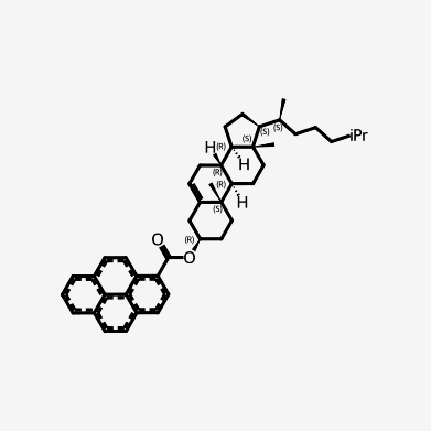 CC(C)CCC[C@H](C)[C@@H]1CC[C@@H]2[C@H]3CC=C4C[C@H](OC(=O)c5ccc6ccc7cccc8ccc5c6c78)CC[C@@]4(C)[C@@H]3CC[C@]21C